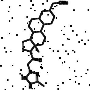 COCC1CCC2C(CCC3C2CCC2(C)C(C(=O)CN4N=C(C)NN4)CCC32)C1